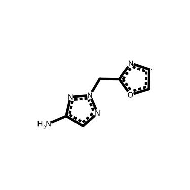 Nc1cnn(Cc2n[c]co2)n1